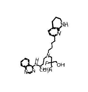 O=C(O)[C@H](CCN(CCCCc1ccc2c(n1)NCCC2)CC(F)(CO)CO)Nc1ncnc2ccccc12